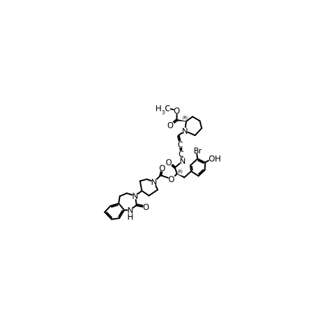 COC(=O)[C@H]1CCCCN1C=C=C=NC(=O)[C@@H](Cc1ccc(O)c(Br)c1)OC(=O)N1CCC(N2CCc3ccccc3NC2=O)CC1